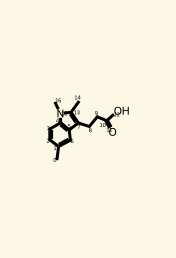 Cc1ccc2c(c1)c(CCC(=O)O)c(C)n2C